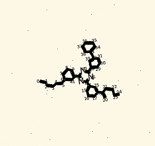 C=C/C=C\C=C\c1cccc(-c2nc(-c3cccc(C(=C)/C=C\C=C)c3)nc(-c3cccc(-c4ccccc4)c3)n2)c1